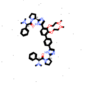 COCCOc1c(-c2ccc(-c3cnc([C@@H]4CCCN4C(=O)[C@@H](c4ccccc4)N(C)C)[nH]3)cc2)ccc(-c2cnc([C@@H]3CCCN3C(=O)[C@@H](c3ccccc3)N(C)C)[nH]2)c1OCCOC